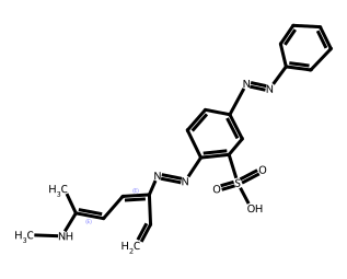 C=C/C(=C\C=C(/C)NC)N=Nc1ccc(N=Nc2ccccc2)cc1S(=O)(=O)O